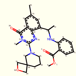 COC(=O)c1ccccc1NC(C)c1cc(C)cc2c(=O)n(C)c(N3CCCC4(COC4)C3)nc12